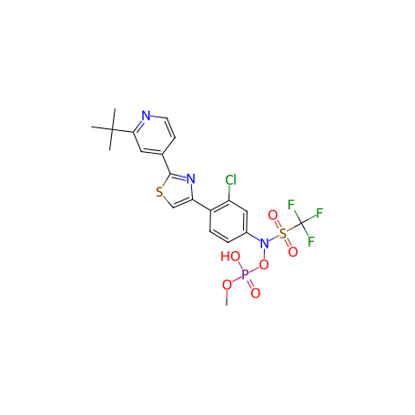 COP(=O)(O)ON(c1ccc(-c2csc(-c3ccnc(C(C)(C)C)c3)n2)c(Cl)c1)S(=O)(=O)C(F)(F)F